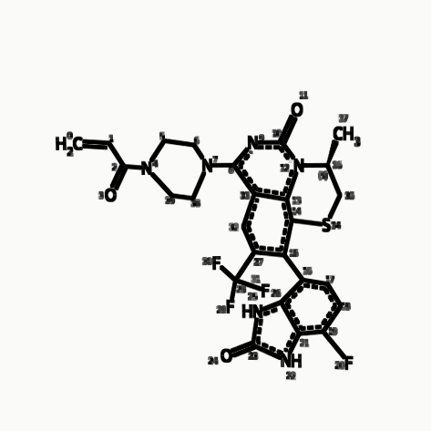 C=CC(=O)N1CCN(c2nc(=O)n3c4c(c(-c5ccc(F)c6[nH]c(=O)[nH]c56)c(C(F)(F)F)cc24)SC[C@@H]3C)CC1